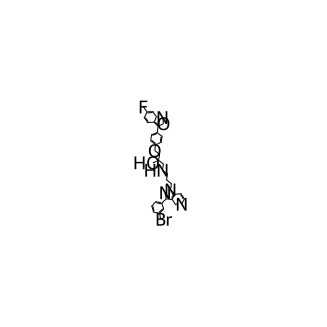 O[C@H](CNCCCn1nc(-c2cccc(Br)c2)c2cnccc21)COc1ccc(-c2onc3cc(F)ccc23)cc1